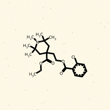 CCOC(=O)C1(CCOC(=O)c2ccccc2Cl)CC(C)(C)N(C)C(C)(C)C1